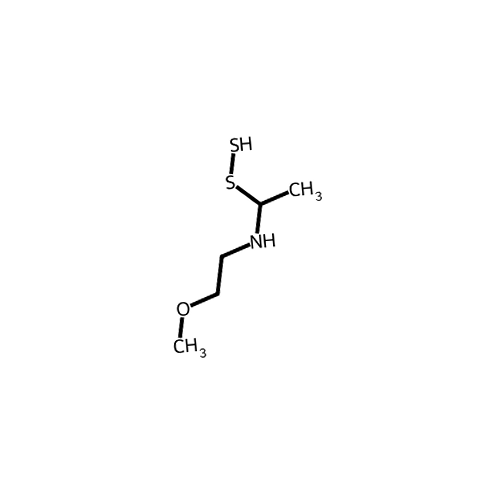 COCCNC(C)SS